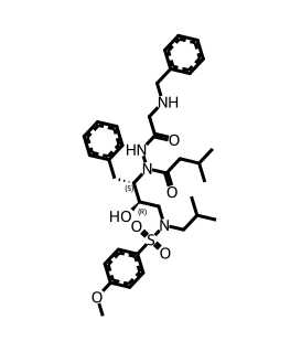 COc1ccc(S(=O)(=O)N(CC(C)C)C[C@@H](O)[C@H](Cc2ccccc2)N(NC(=O)CNCc2ccccc2)C(=O)CC(C)C)cc1